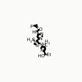 CC[C@@H](O)c1cc(C)c(Nc2ncn(C)c2-c2cc(NC(=O)[C@H]3C[C@H]3F)ncn2)cn1